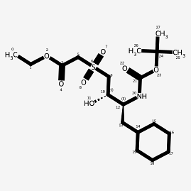 CCOC(=O)CS(=O)(=O)C[C@@H](O)[C@H](CC1CCCCC1)NC(=O)OC(C)(C)C